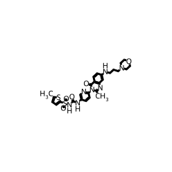 Cc1ccc(S(=O)(=O)NC(=O)Nc2ccc(-n3c(C)nc4cc(NCCCN5CCOCC5)ccc4c3=O)nc2)s1